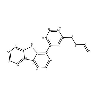 C=CCCc1cc(-c2cccc3c2sc2ccccc23)ncn1